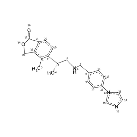 Cc1c([C@@H](O)CNCc2ccc(-n3ccnc3)nc2)ccc2c1COC2=O